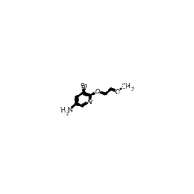 COCCOc1ncc(N)cc1Br